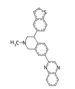 CN1Cc2cc(-c3cnc4ccccc4n3)ccc2C(c2ccc3sccc3c2)C1